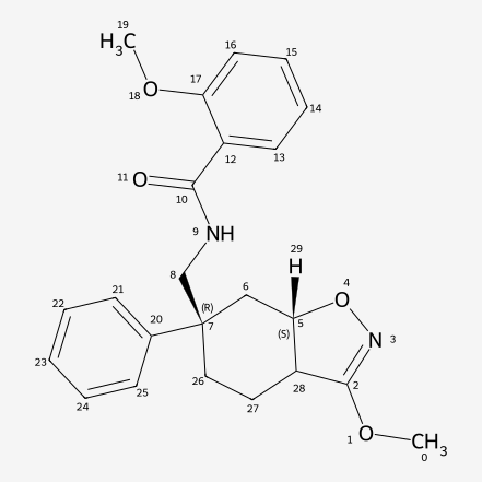 COC1=NO[C@H]2C[C@@](CNC(=O)c3ccccc3OC)(c3ccccc3)CCC12